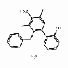 Cc1cc(-c2ccccc2O)c(Cc2ccccc2)c(C)c1S(=O)(=O)O.S